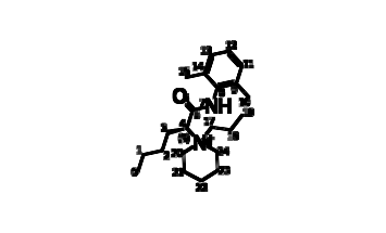 CCCC[C@@H](C(=O)Nc1c(C)cccc1C)[N+]1(CCC)CCCCC1